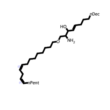 CCCCC/C=C\C/C=C\CCCCCCCCOCC(N)C(O)C=CCCCCCCCCCCCCC